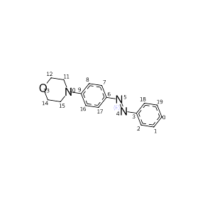 c1ccc(/N=N/c2ccc(N3CCOCC3)cc2)cc1